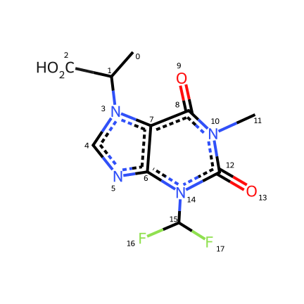 CC(C(=O)O)n1cnc2c1c(=O)n(C)c(=O)n2C(F)F